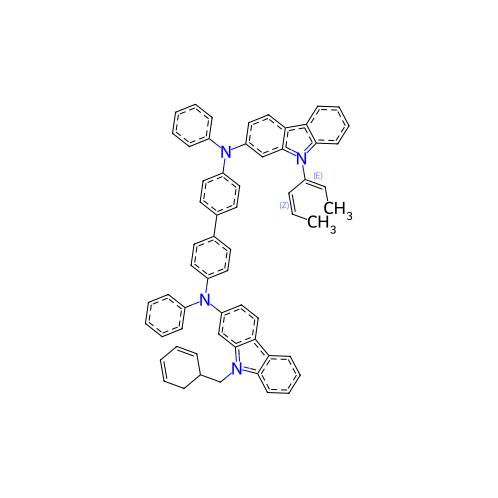 C/C=C\C(=C/C)n1c2ccccc2c2ccc(N(c3ccccc3)c3ccc(-c4ccc(N(c5ccccc5)c5ccc6c7ccccc7n(CC7C=CC=CC7)c6c5)cc4)cc3)cc21